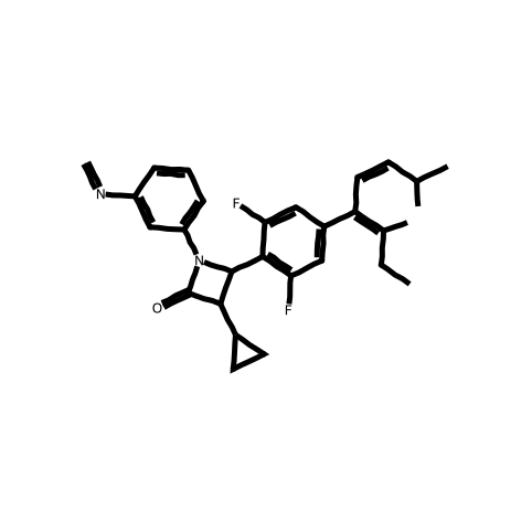 C=Nc1cccc(N2C(=O)C(C3CC3)C2c2c(F)cc(C(/C=C\C(C)C)=C(/C)CC)cc2F)c1